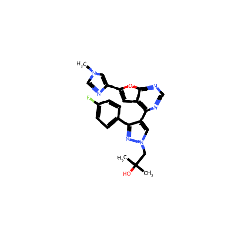 Cn1cnc(-c2cc3c(-c4cn(CC(C)(C)O)nc4-c4ccc(F)cc4)ncnc3o2)c1